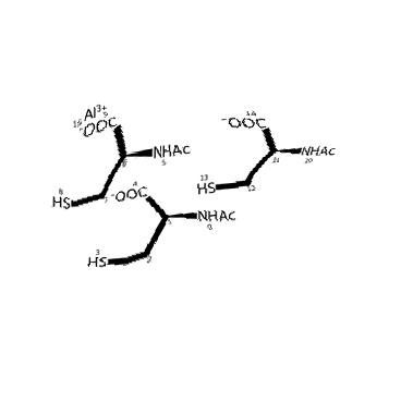 CC(=O)N[C@@H](CS)C(=O)[O-].CC(=O)N[C@@H](CS)C(=O)[O-].CC(=O)N[C@@H](CS)C(=O)[O-].[Al+3]